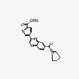 COC(=O)c1ccc(-c2cnc3ccc(C(=O)N4CCCCC4)cc3n2)cn1